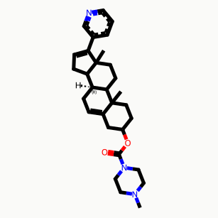 CN1CCN(C(=O)OC2CCC3(C)C(=CC[C@@H]4C3CCC3(C)C(c5cccnc5)=CCC43)C2)CC1